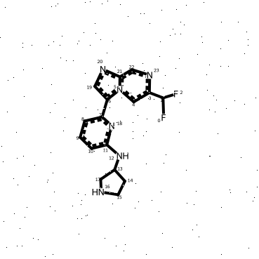 FC(F)c1cn2c(-c3cccc(NC4CCNC4)n3)cnc2cn1